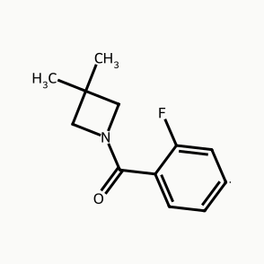 CC1(C)CN(C(=O)c2cc[c]cc2F)C1